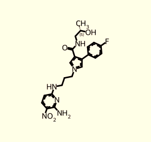 C[C@H](O)CNC(=O)c1cn(CCCNc2ccc([N+](=O)[O-])c(N)n2)cc1-c1ccc(F)cc1